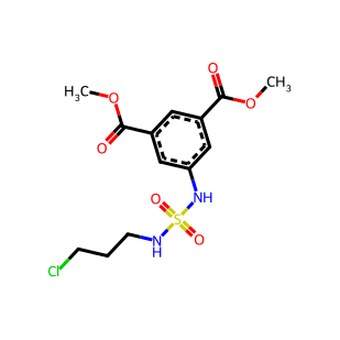 COC(=O)c1cc(NS(=O)(=O)NCCCCl)cc(C(=O)OC)c1